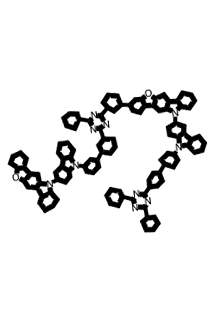 c1ccc(-c2nc(-c3ccccc3)nc(-c3ccc(-c4ccc(-n5c6ccccc6c6cc(-n7c8ccccc8c8cc9oc%10cc(-c%11cccc(-c%12nc(-c%13ccccc%13)nc(-c%13cccc(-c%14cccc(-n%15c%16ccccc%16c%16cc(-n%17c%18ccccc%18c%18cc%19oc%20ccccc%20c%19cc%18%17)ccc%16%15)c%14)c%13)n%12)c%11)ccc%10c9cc87)ccc65)cc4)cc3)n2)cc1